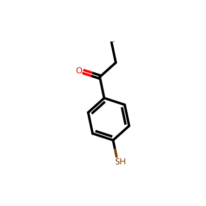 [CH2]CC(=O)c1ccc(S)cc1